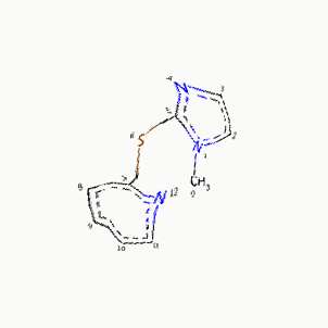 Cn1ccnc1Sc1ccccn1